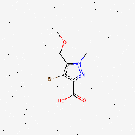 COCc1c(Br)c(C(=O)O)nn1C